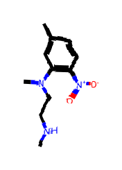 CNCCN(C)c1cc(C)ccc1[N+](=O)[O-]